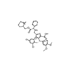 COc1ccc([C@H](Cc2c(Cl)c[n+]([O-])cc2Cl)c2cc(CNC(C(=O)OC[C@H]3CCCN3C)c3ccccc3)sc2C(=O)O)cc1OC